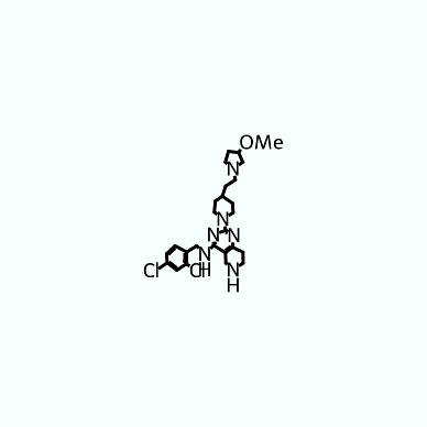 COC1CCN(CCC2CCN(c3nc4c(c(NCc5ccc(Cl)cc5Cl)n3)CNCC4)CC2)C1